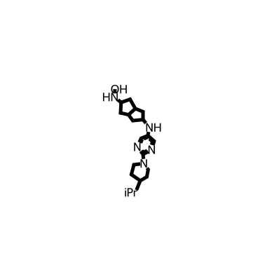 CC(C)C1CCN(c2ncc(NC3CC4CC(NO)CC4C3)cn2)CC1